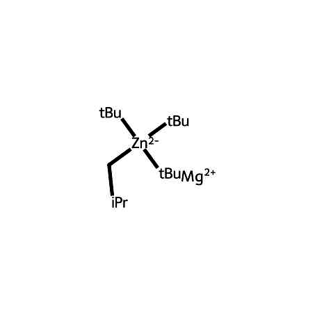 CC(C)[CH2][Zn-2]([C](C)(C)C)([C](C)(C)C)[C](C)(C)C.[Mg+2]